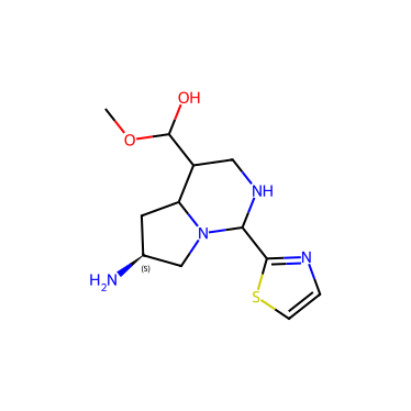 COC(O)C1CNC(c2nccs2)N2C[C@@H](N)CC12